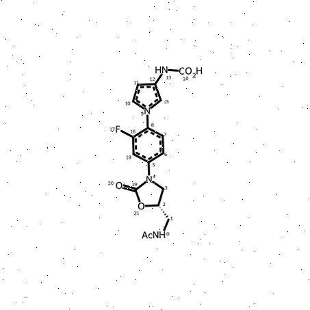 CC(=O)NC[C@H]1CN(c2ccc(-n3ccc(NC(=O)O)c3)c(F)c2)C(=O)O1